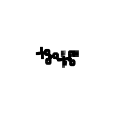 CC(C)(C)OC(=O)OCC(F)(F)C(=O)O